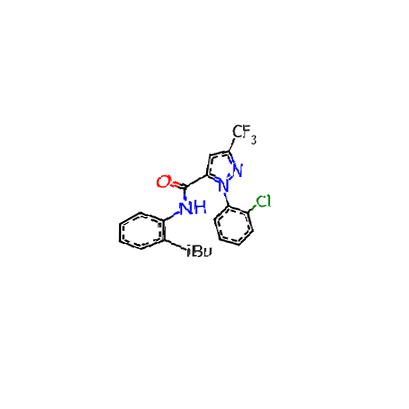 CCC(C)c1ccccc1NC(=O)c1cc(C(F)(F)F)nn1-c1ccccc1Cl